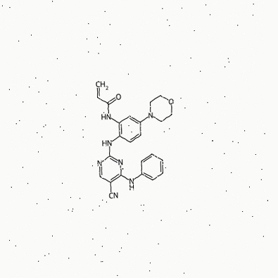 C=CC(=O)Nc1cc(N2CCOCC2)ccc1Nc1ncc(C#N)c(Nc2ccccc2)n1